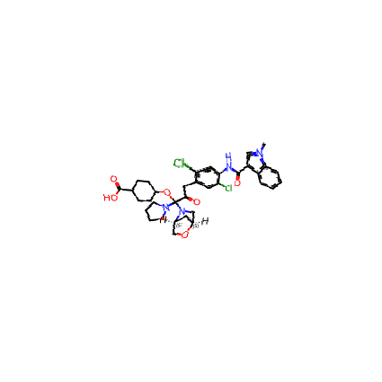 Cn1cc(C(=O)Nc2cc(Cl)c(CC(=O)C(OC3CCC(C(=O)O)CC3)(N3CCCC3)N3C[C@@H]4C[C@H]3CO4)cc2Cl)c2ccccc21